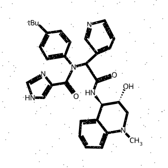 CN1C[C@@H](O)[C@H](NC(=O)C(c2cccnc2)N(C(=O)c2c[nH]cn2)c2ccc(C(C)(C)C)cc2)c2ccccc21